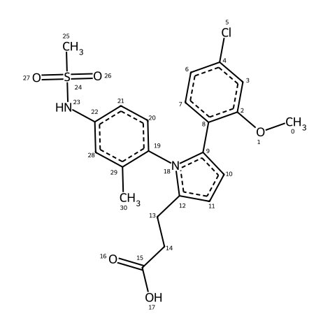 COc1cc(Cl)ccc1-c1ccc(CCC(=O)O)n1-c1ccc(NS(C)(=O)=O)cc1C